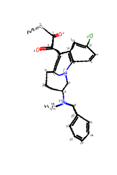 COC(=O)C(=O)c1c2n(c3ccc(Cl)cc13)CC(N(C)Cc1ccccc1)CC2